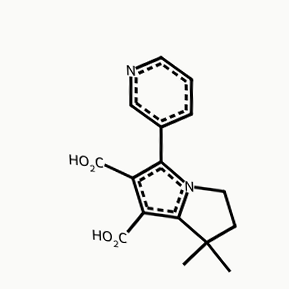 CC1(C)CCn2c(-c3cccnc3)c(C(=O)O)c(C(=O)O)c21